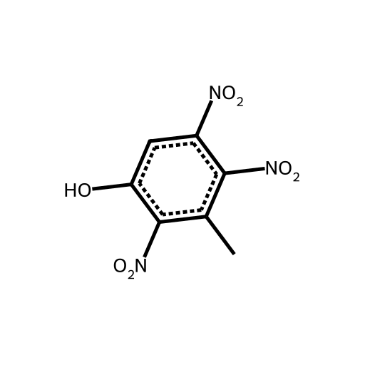 Cc1c([N+](=O)[O-])c(O)cc([N+](=O)[O-])c1[N+](=O)[O-]